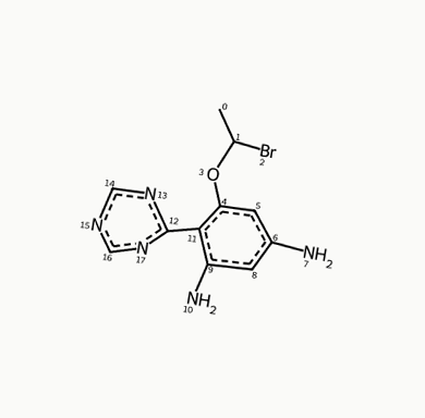 CC(Br)Oc1cc(N)cc(N)c1-c1ncncn1